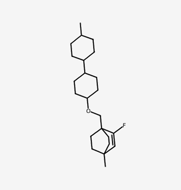 CC1CCC(C2CCC(OCC34CCC(C)(C=C3F)CC4)CC2)CC1